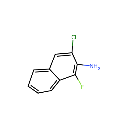 Nc1c(Cl)cc2ccccc2c1F